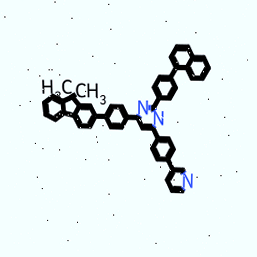 CC1(C)c2ccccc2-c2ccc(-c3ccc(-c4cc(-c5ccc(-c6cccnc6)cc5)nc(-c5ccc(-c6cccc7ccccc67)cc5)n4)cc3)cc21